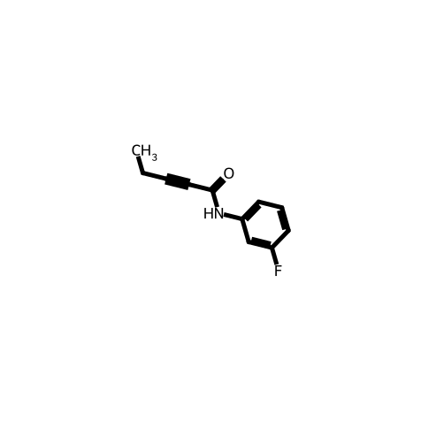 CCC#CC(=O)Nc1cccc(F)c1